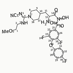 COCCN/C(=N\C#N)N1CCC(CC(N)C(=O)N(O)S(=O)(=O)c2cc(F)c(Oc3ccc(F)cc3)c(F)c2)CC1